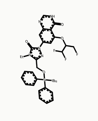 CCn1c(CO[Si](c2ccccc2)(c2ccccc2)C(C)(C)C)nn(-c2cc(OC(CF)C(F)F)c3c(=O)[nH]cnc3c2)c1=O